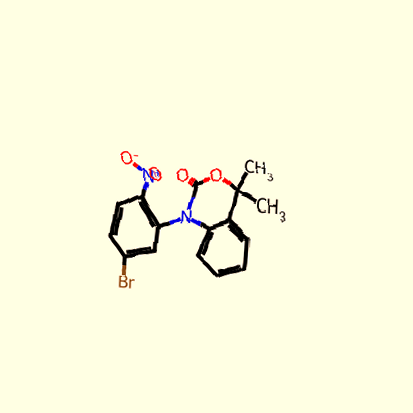 CC1(C)OC(=O)N(c2cc(Br)ccc2[N+](=O)[O-])c2ccccc21